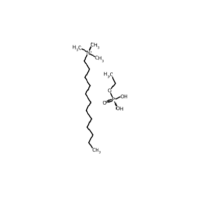 CCCCCCCCCCCC[N+](C)(C)C.CCOP(=O)(O)O